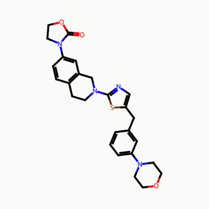 O=C1OCCN1c1ccc2c(c1)CN(c1ncc(Cc3cccc(N4CCOCC4)c3)s1)CC2